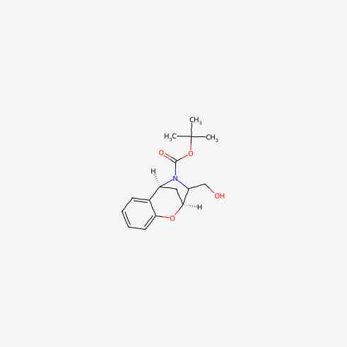 CC(C)(C)OC(=O)N1C(CO)[C@@H]2C[C@H]1c1ccccc1O2